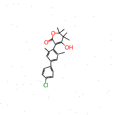 Cc1cc(-c2ccc(Cl)cc2)cc(C)c1C1=C(O)C(C)(C)C(C)(C)OC1=O